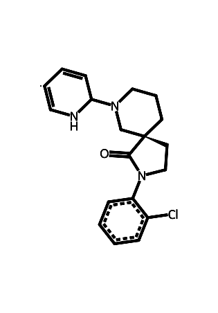 O=C1N(c2ccccc2Cl)CC[C@@]12CCCN(C1C=C[C]=CN1)C2